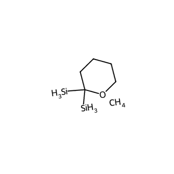 C.[SiH3]C1([SiH3])CCCCO1